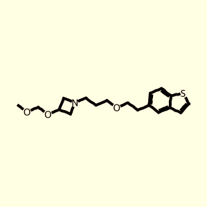 COCOC1CN(CCCOCCc2ccc3sccc3c2)C1